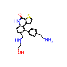 NCCc1ccc(-c2c(CNCCO)ccc3[nH]c(=O)c4sccc4c23)cc1